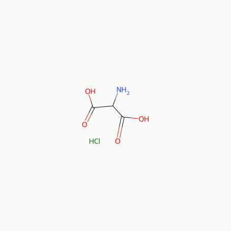 Cl.NC(C(=O)O)C(=O)O